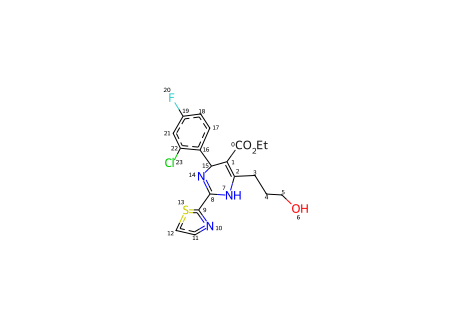 CCOC(=O)C1=C(CCCO)NC(c2nccs2)=NC1c1ccc(F)cc1Cl